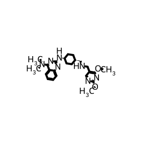 COc1ncc(CNC[C@H]2CC[C@@H](Nc3nc(N(C)C)c4ccccc4n3)CC2)c(OC)n1